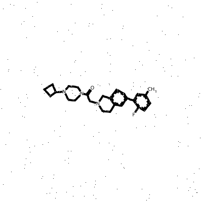 Cc1ccc(F)c(-c2ccc3c(c2)CCN(CC(=O)N2CCN(C4CCC4)CC2)C3)c1